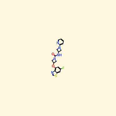 O=C(NC1CN(c2ccccn2)C1)N1CC(Oc2cc(F)cc3scnc23)C1